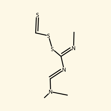 C/N=C(/N=C/N(C)C)SSC=S